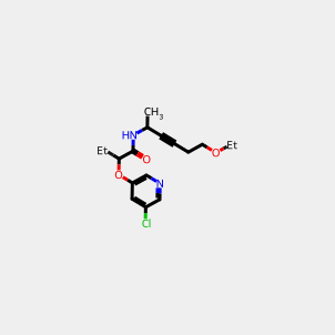 CCOCCC#CC(C)NC(=O)C(CC)Oc1cncc(Cl)c1